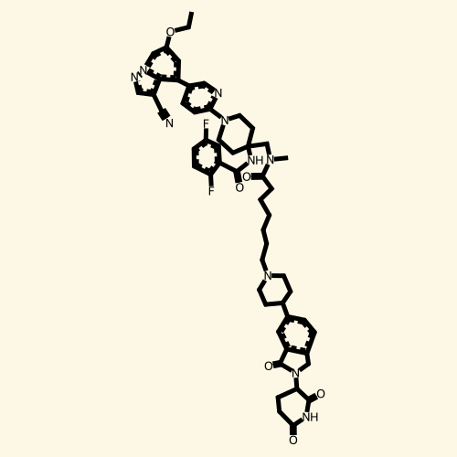 CCOc1cc(-c2ccc(N3CCC(CN(C)C(=O)CCCCCCN4CCC(c5ccc6c(c5)C(=O)N(C5CCC(=O)NC5=O)C6)CC4)(NC(=O)c4cc(F)ccc4F)CC3)nc2)c2c(C#N)cnn2c1